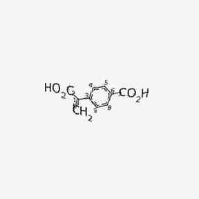 C=C(C(=O)O)c1ccc(C(=O)O)cc1